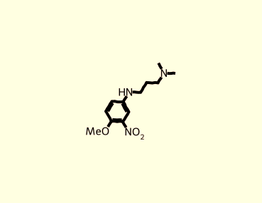 COc1ccc(NCCCN(C)C)cc1[N+](=O)[O-]